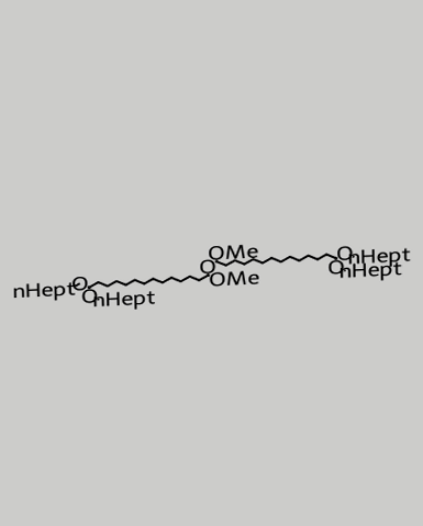 CCCCCCCOC(CCCCCCCCCCCCC(OC)OC(CCCCCCCCCCCCC(OCCCCCCC)OCCCCCCC)OC)OCCCCCCC